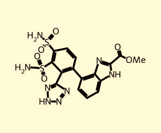 COC(=O)c1nc2c(-c3ccc(S(N)(=O)=O)c(S(N)(=O)=O)c3-c3nn[nH]n3)cccc2[nH]1